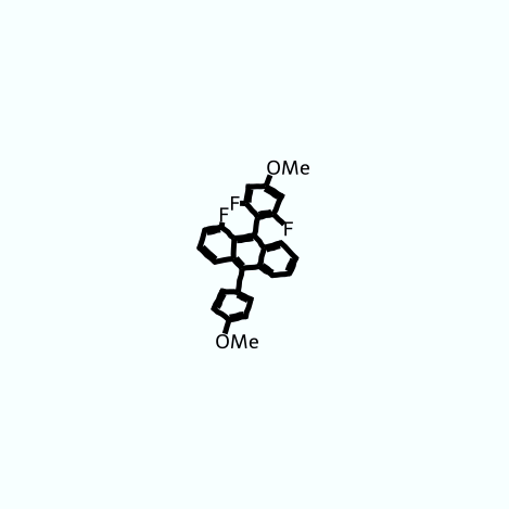 COc1ccc(-c2c3ccccc3c(-c3c(F)cc(OC)cc3F)c3c(F)cccc23)cc1